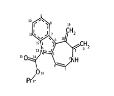 C=C1NC=Cc2c(c3ccccc3n2C(=O)OC(C)C)C1=C